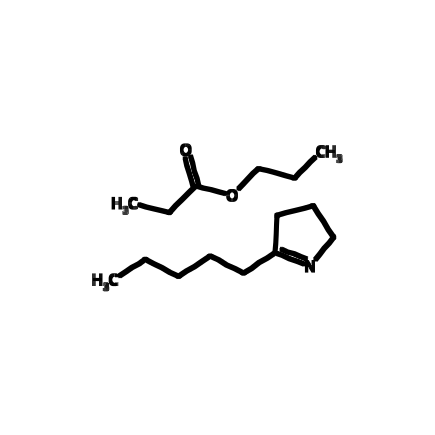 CCCCCC1=NCCC1.CCCOC(=O)CC